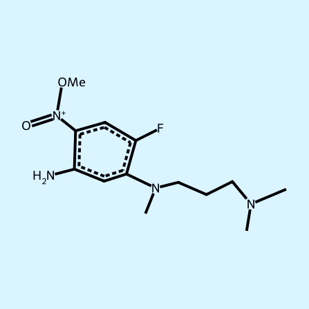 CO[N+](=O)c1cc(F)c(N(C)CCCN(C)C)cc1N